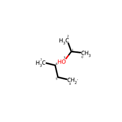 CC(C)O.[CH2]CCC